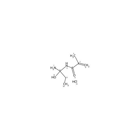 C=C(C)C(=O)NC(N)(O)CC.Cl